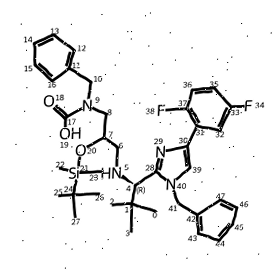 CC(C)(C)[C@@H](NCC(CN(Cc1ccccc1)C(=O)O)O[Si](C)(C)C(C)(C)C)c1nc(-c2cc(F)ccc2F)cn1Cc1ccccc1